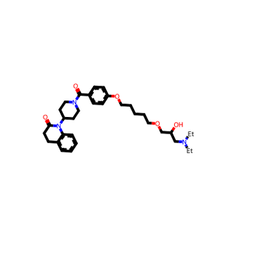 CCN(CC)CC(O)COCCCCCOc1ccc(C(=O)N2CCC(N3C(=O)CCc4ccccc43)CC2)cc1